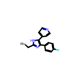 CC(C)(C)Cc1nc(-c2ccc(F)cc2)c(-c2ccncc2)[nH]1